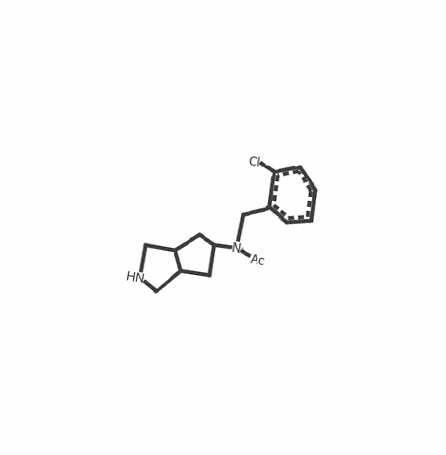 CC(=O)N(Cc1ccccc1Cl)C1CC2CNCC2C1